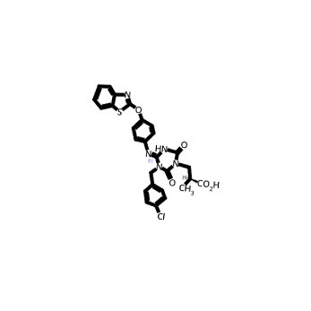 C[C@@H](Cn1c(=O)[nH]/c(=N\c2ccc(Oc3nc4ccccc4s3)cc2)n(Cc2ccc(Cl)cc2)c1=O)C(=O)O